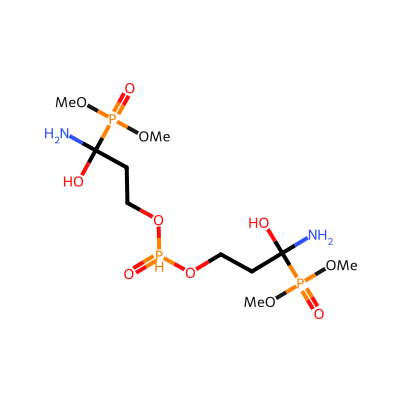 COP(=O)(OC)C(N)(O)CCO[PH](=O)OCCC(N)(O)P(=O)(OC)OC